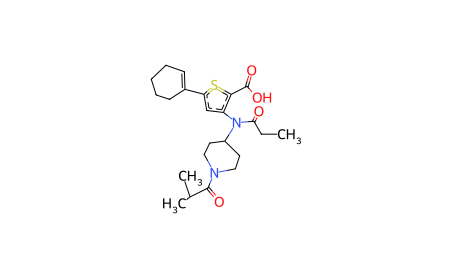 CCC(=O)N(c1cc(C2=CCCCC2)sc1C(=O)O)C1CCN(C(=O)C(C)C)CC1